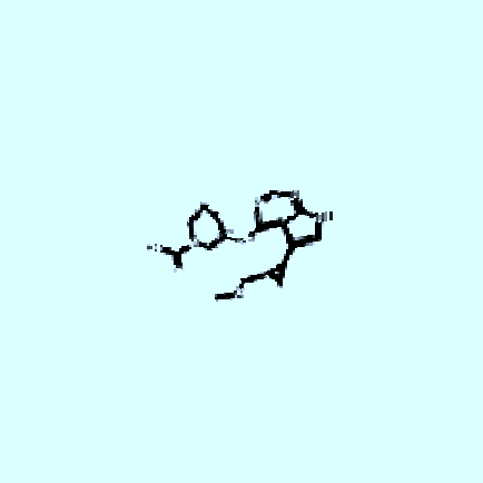 COCC1CC1c1c[nH]c2ncnc(N[C@@H]3CCCN(C(=O)O)C3)c12